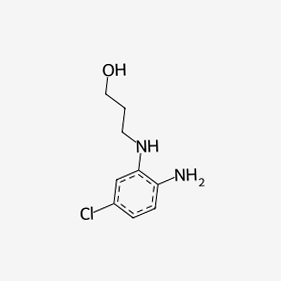 Nc1ccc(Cl)cc1NCCCO